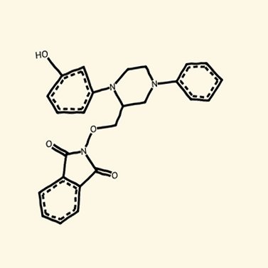 O=C1c2ccccc2C(=O)N1OCC1CN(c2ccccc2)CCN1c1cccc(O)c1